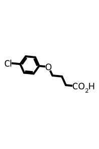 O=C(O)CCCOc1ccc(Cl)cc1